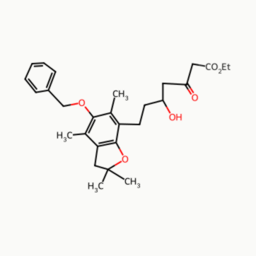 CCOC(=O)CC(=O)CC(O)CCc1c(C)c(OCc2ccccc2)c(C)c2c1OC(C)(C)C2